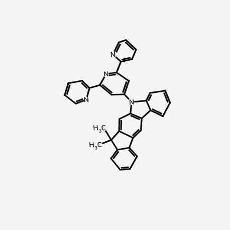 CC1(C)c2ccccc2-c2cc3c4ccccc4n(-c4cc(-c5ccccn5)nc(-c5ccccn5)c4)c3cc21